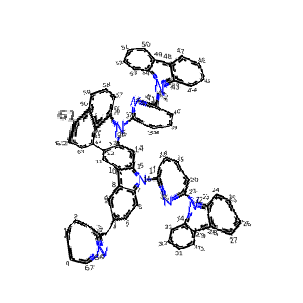 c1ccc(-c2ccc3c(c2)c2cc4c(cc2n3-c2cccc(-n3c5ccccc5c5ccccc53)n2)N(c2cccc(-n3c5ccccc5c5ccccc53)n2)c2cccc3cccc-4c23)nc1